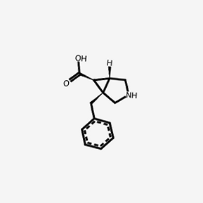 O=C(O)[C@H]1[C@@H]2CNC[C@@]21Cc1ccccc1